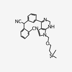 C[Si](C)(C)CCOCn1ccc2c1NCN=C2c1cccc(C(C#N)c2ccccc2C#N)c1